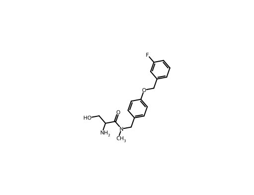 CN(Cc1ccc(OCc2cccc(F)c2)cc1)C(=O)C(N)CO